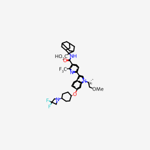 COC[C@@H](C)n1cc(-c2ccc(C(=O)NC3(C(=O)O)C4CC5CC(C4)CC3C5)c(C(F)(F)F)n2)c2ccc(O[C@H]3CC[C@H](N4CC(F)(F)C4)CC3)cc21